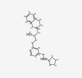 OC(CCc1cccc(CNC2CCCC2)c1)CN1CCc2ccccc2C1